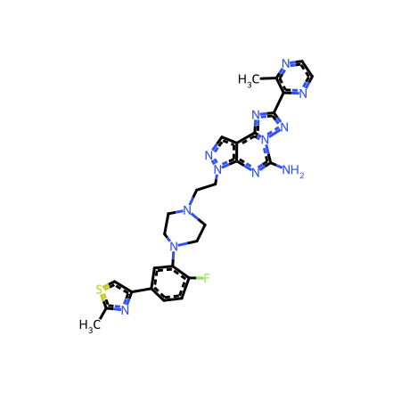 Cc1nc(-c2ccc(F)c(N3CCN(CCn4ncc5c4nc(N)n4nc(-c6nccnc6C)nc54)CC3)c2)cs1